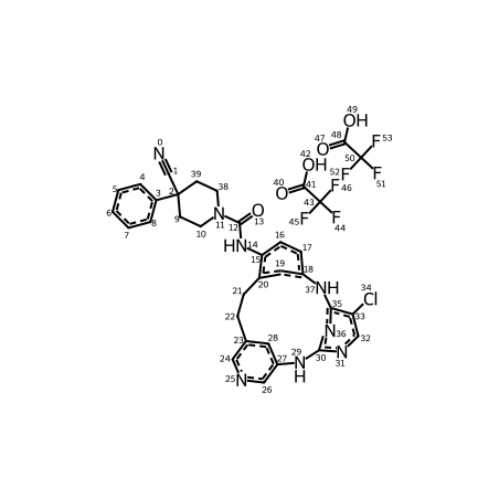 N#CC1(c2ccccc2)CCN(C(=O)Nc2ccc3cc2CCc2cncc(c2)Nc2ncc(Cl)c(n2)N3)CC1.O=C(O)C(F)(F)F.O=C(O)C(F)(F)F